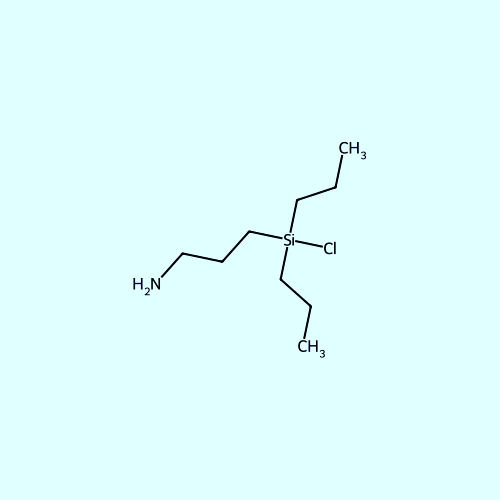 CCC[Si](Cl)(CCC)CCCN